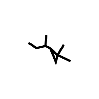 CCC(C)C1[CH]C1(C)C